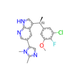 COc1cc([C@H](C)c2c[nH]c3ncc(-c4cnc(C)n4C)cc23)cc(Cl)c1F